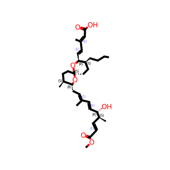 CCCC[C@H]1CC[C@]2(CC[C@H](C)[C@@H](C/C=C(C)/C=C/[C@H](O)[C@@H](C)/C=C/C(=O)OC)O2)O[C@H]1/C=C/C(C)=C/C(=O)O